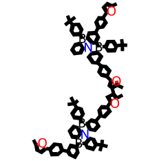 Cc1ccc(-c2ccc(-c3cccc(B4c5ccc(C(C)(C)C)cc5N5c6ccc(-c7ccc(-c8cc(-c9cc(-c%10ccc(-c%11ccc%12c(c%11)B(c%11ccc(C(C)(C)C)cc%11)c%11cc(-c%13ccc(-c%14ccc(C)o%14)cc%13)cc%13c%11N%12c%11ccccc%11B%13c%11ccc(C(C)(C)C)cc%11)cc%10)oc9C)c(C)o8)cc7)cc6B(c6ccc(C(C)(C)C)cc6)c6cccc4c65)c3)cc2)o1